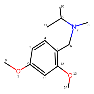 COc1ccc(CN(C)C(C)C)c(OC)c1